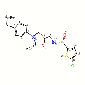 CC(=O)NCc1ccc(N2CC(CNC(=O)c3ccc(Cl)s3)OC2=O)cc1